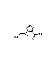 CCC1CC12C=CC=C2C(=O)O